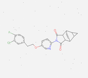 O=C1C2C3C=CC(C4CC34)C2C(=O)N1c1ccc(OCCc2ccc(F)c(Cl)c2)cn1